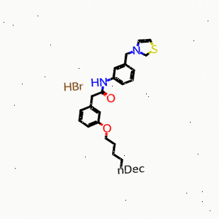 Br.CCCCCCCCCCCCCCOc1cccc(CC(=O)Nc2cccc(CN3C=CSC3)c2)c1